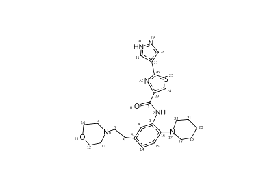 O=C(Nc1cc(CCN2CCOCC2)ccc1N1CCCCC1)c1csc(-c2cn[nH]c2)n1